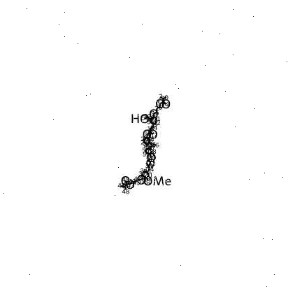 C=C(C)C(=O)OCCCOc1ccc(C=CC(=O)Oc2ccc3c(c2)C(C)c2cc(OCOC=Cc4ccc(OCCCOC(=O)C(=C)C)c(OC)c4)ccc2-3)cc1CO